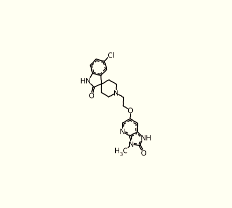 Cn1c(=O)[nH]c2cc(OCCN3CCC4(CC3)C(=O)Nc3ccc(Cl)cc34)cnc21